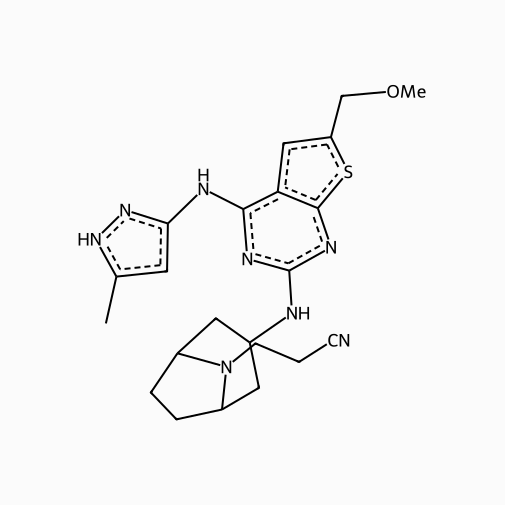 COCc1cc2c(Nc3cc(C)[nH]n3)nc(NC3CC4CCC(C3)N4CCC#N)nc2s1